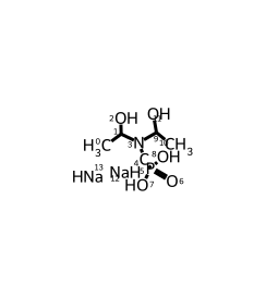 CC(O)N(CP(=O)(O)O)C(C)O.[NaH].[NaH]